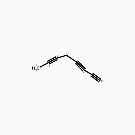 [C]#CC#CCC#CC